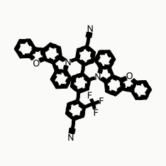 N#Cc1ccc(-c2ccc(-c3ccc(C#N)cc3C(F)(F)F)cc2-n2c3ccccc3c3c4oc5ccccc5c4ccc32)c(-n2c3ccccc3c3c4oc5ccccc5c4ccc32)c1